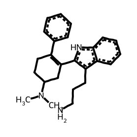 CN(C)C1CCC(c2ccccc2)=C(c2[nH]c3ccccc3c2CCCN)C1